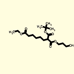 CCCCOC(=O)C(CCCCCC(=O)OCC)C(=O)OC(C)(C)C